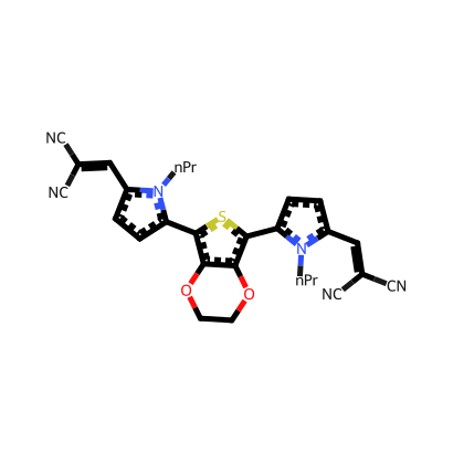 CCCn1c(C=C(C#N)C#N)ccc1-c1sc(-c2ccc(C=C(C#N)C#N)n2CCC)c2c1OCCO2